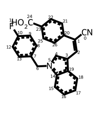 N#CC(=Cc1cn(Cc2ccc(F)cc2)c2ccccc12)c1ccc(C(=O)O)cc1